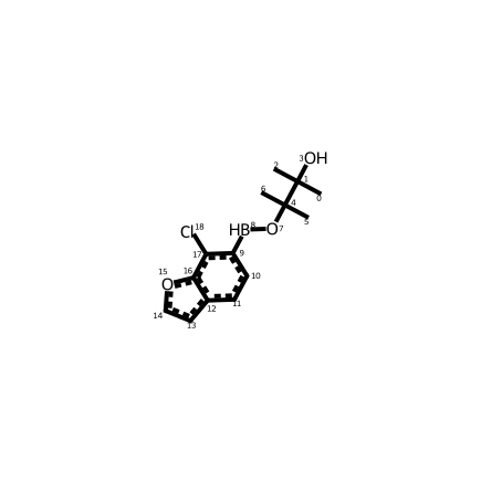 CC(C)(O)C(C)(C)OBc1ccc2ccoc2c1Cl